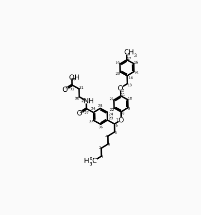 CCCCCCC(Oc1ccc(OCc2ccc(C)cc2)cc1)c1ccc(C(=O)NCCC(=O)O)cc1